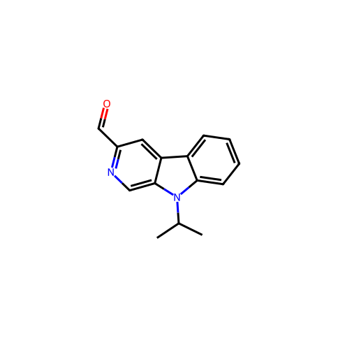 CC(C)n1c2ccccc2c2cc(C=O)ncc21